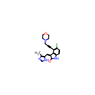 Cc1nc[nH]c1/C=C1\C(=O)Nc2ccc(F)c(C#CCN3CCOCC3)c21